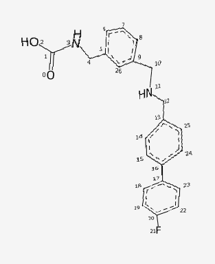 O=C(O)NCc1cccc(CNCc2ccc(-c3ccc(F)cc3)cc2)c1